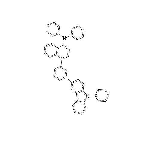 c1ccc(N(c2ccccc2)c2ccc(-c3cccc(-c4ccc5c(c4)c4ccccc4n5-c4ccccc4)c3)c3ccccc23)cc1